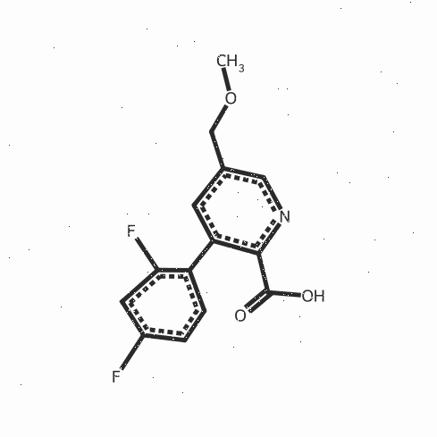 COCc1cnc(C(=O)O)c(-c2ccc(F)cc2F)c1